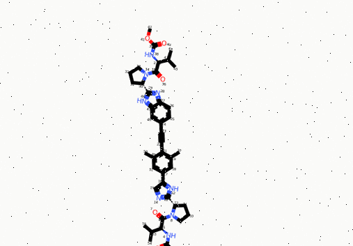 COC(=O)N[C@H](C(=O)N1CCC[C@H]1c1ncc(-c2cc(C)c(C#Cc3ccc4nc([C@@H]5CCCN5C(=O)[C@@H](NC(=O)OC)C(C)C)[nH]c4c3)c(C)c2)[nH]1)C(C)C